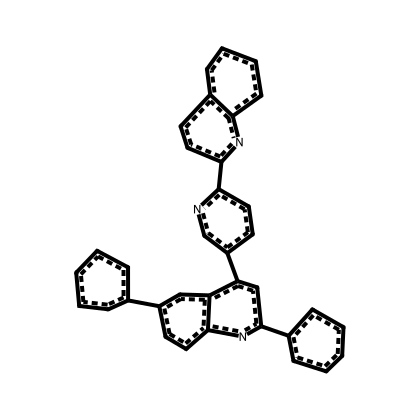 c1ccc(-c2ccc3nc(-c4ccccc4)cc(-c4ccc(-c5ccc6ccccc6n5)nc4)c3c2)cc1